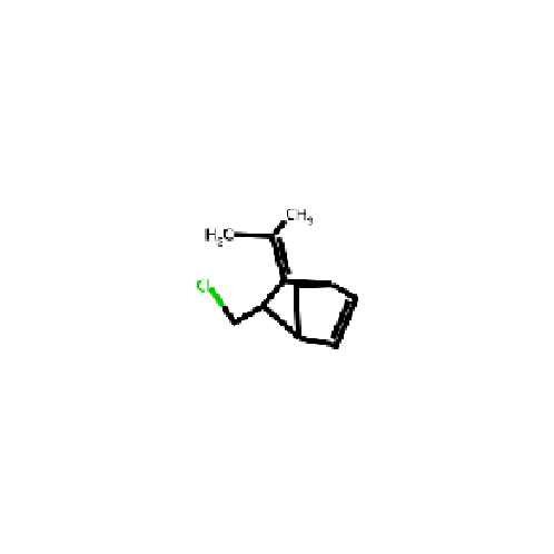 CC(C)=C1C2C=CC(C2)C1CCl